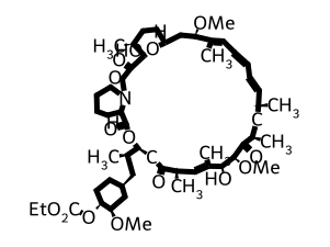 CCOC(=O)O[C@@H]1CC[C@@H](C[C@@H](C)[C@@H]2CC(=O)[C@H](C)/C=C(\C)[C@@H](O)[C@@H](OC)C(=O)[C@H](C)C[C@H](C)/C=C/C=C/C=C(\C)[C@@H](OC)C[C@@H]3CC[C@@H](C)[C@@](O)(O3)C(=O)C(=O)N3CCCC[C@H]3C(=O)O2)C[C@H]1OC